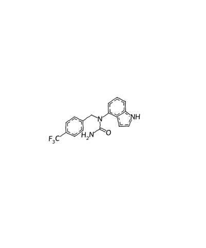 NC(=O)N(Cc1ccc(C(F)(F)F)cc1)c1cccc2[nH]ccc12